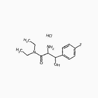 CCN(CC)C(=O)C(N)C(O)c1ccc(F)cc1.Cl